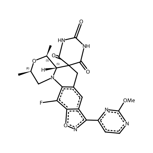 COc1nccc(-c2noc3c(F)c4c(cc23)CC2(C(=O)NC(=O)NC2=O)[C@H]2[C@H](C)O[C@H](C)CN42)n1